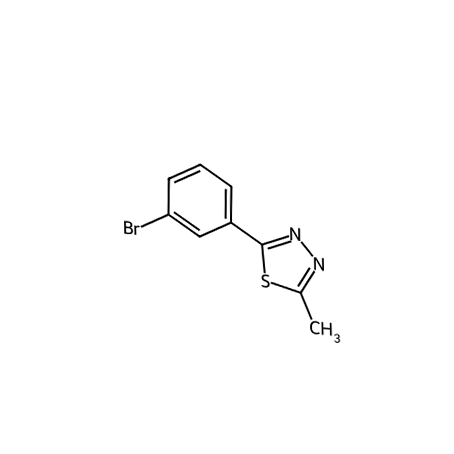 Cc1nnc(-c2cccc(Br)c2)s1